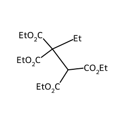 CCOC(=O)C(C(=O)OCC)C(CC)(C(=O)OCC)C(=O)OCC